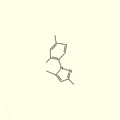 Cc1ccc(-n2nc(C)cc2C)c(C)c1